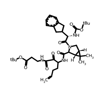 C=CCCC(NC(=O)C1[C@@H]2[C@H](CN1C(=O)[C@@H](NC(=O)OC(C)(C)C)C1Cc3ccccc3C1)C2(C)C)C(=O)C(=O)NCCC(=O)OC(C)(C)C